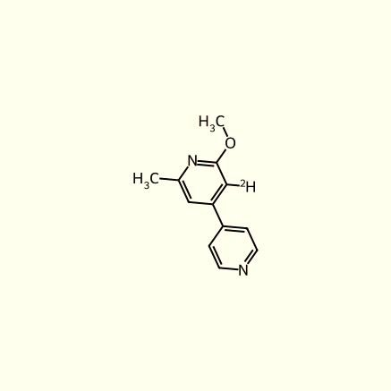 [2H]c1c(-c2ccncc2)cc(C)nc1OC